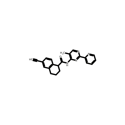 C#Cc1ccc2c(c1)CCCC2C(=O)Nc1nc(-c2ccccn2)ncc1C